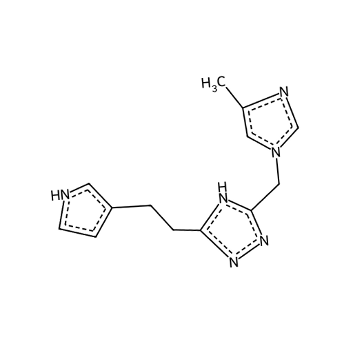 Cc1cn(Cc2nnc(CCc3cc[nH]c3)[nH]2)cn1